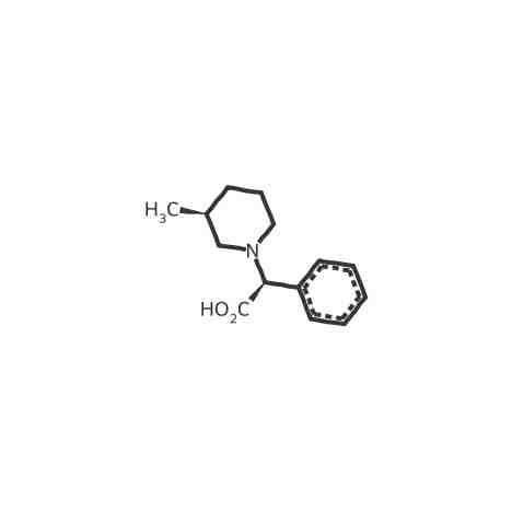 C[C@H]1CCCN([C@H](C(=O)O)c2ccccc2)C1